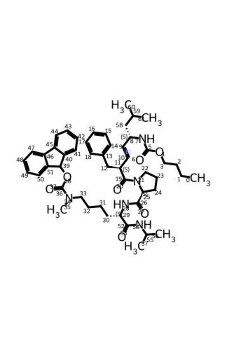 CCCCOC(=O)N[C@H](/C=C/[C@H](Cc1ccccc1)C(=O)N1CCC[C@H]1C(=O)N[C@@H](CCCCN(C)C(=O)OC1c2ccccc2-c2ccccc21)C(=O)NC(C)C)CC(C)C